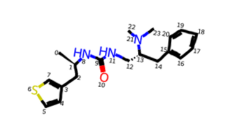 C[C@H](Cc1ccsc1)NC(=O)NC[C@@H](Cc1ccccc1)N(C)C